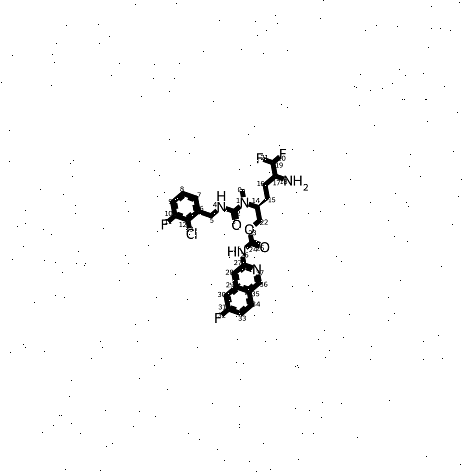 CN(C(=O)NCc1cccc(F)c1Cl)[C@@H](CCC(N)C(F)F)COC(=O)Nc1cc2cc(F)ccc2cn1